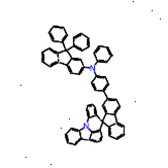 c1ccc(N(c2ccc(-c3ccc4c(c3)C3(c5ccccc5-4)c4ccccc4-n4c5ccccc5c5cccc3c54)cc2)c2ccc3c(c2)C(c2ccccc2)(c2ccccc2)c2ccccc2-3)cc1